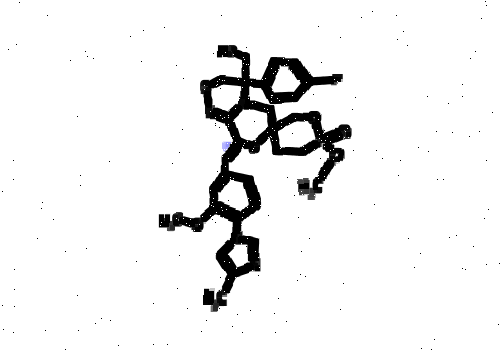 COc1cc(/C=C2\OC3(CCP(=O)(OC)OC3)CN3C2=NOCC3(CO)c2ccc(F)cc2)ccc1-n1cnc(C)c1